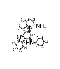 Nc1ccc2ccccc2n1.c1ccc(Nc2cccc3oc4ccccc4c23)cc1